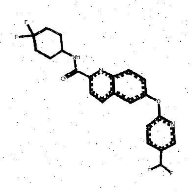 O=C(NC1CCC(F)(F)CC1)c1ccc2cc(Oc3ccc(C(F)F)cn3)ccc2n1